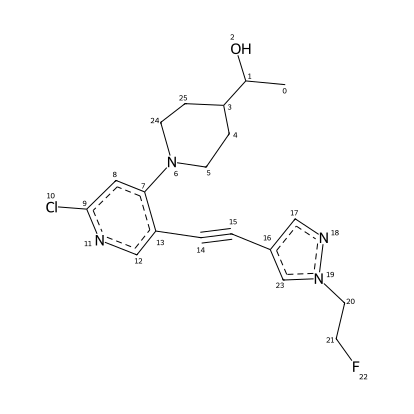 CC(O)C1CCN(c2cc(Cl)ncc2C#Cc2cnn(CCF)c2)CC1